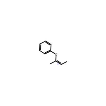 C/C=C(/C)Oc1cc[c]cc1